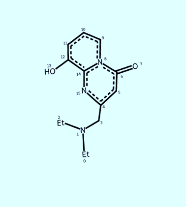 CCN(CC)Cc1cc(=O)n2cccc(O)c2n1